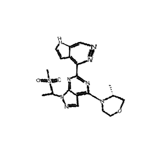 CC(n1ncc2c(N3CCOC[C@H]3C)nc(-c3nncc4[nH]ccc34)nc21)S(C)(=O)=O